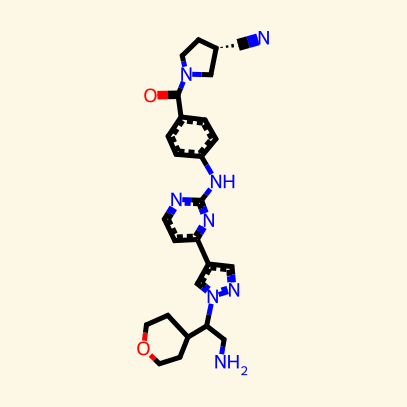 N#C[C@H]1CCN(C(=O)c2ccc(Nc3nccc(-c4cnn(C(CN)C5CCOCC5)c4)n3)cc2)C1